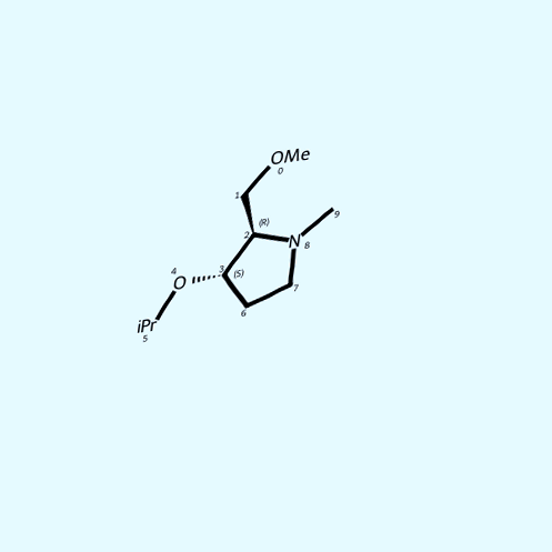 COC[C@@H]1[C@@H](OC(C)C)CCN1C